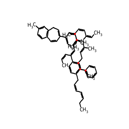 C=C/C=C\C/C=C(\C)N(C(=C)/C=C\C(=C/C)C1=CCc2cc(C)ccc2C=C1)C(/C=C\C(=C)/C(C)=C/C=C(\C=C/C)c1ccc(C/C=C\C=C/CC)c(-c2ccccc2)c1)=C/C